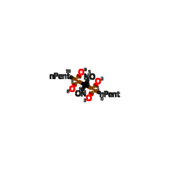 CCCCCS(=O)(=O)C(N=O)(N=O)S(=O)(=O)CCCCC